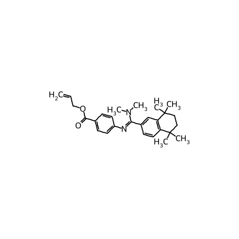 C=CCOC(=O)c1ccc(N=C(c2ccc3c(c2)C(C)(C)CCC3(C)C)N(C)C)cc1